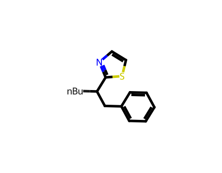 CCCCC(Cc1ccccc1)c1nccs1